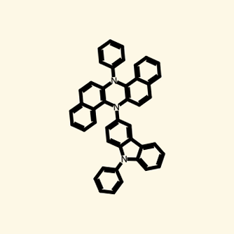 c1ccc(N2c3ccc4ccccc4c3N(c3ccc4c(c3)c3ccccc3n4-c3ccccc3)c3ccc4ccccc4c32)cc1